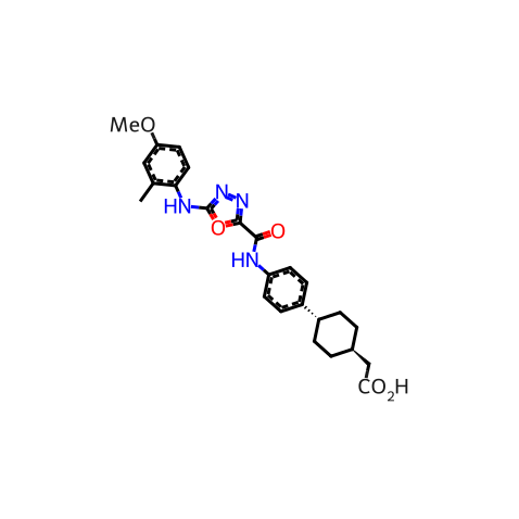 COc1ccc(Nc2nnc(C(=O)Nc3ccc([C@H]4CC[C@H](CC(=O)O)CC4)cc3)o2)c(C)c1